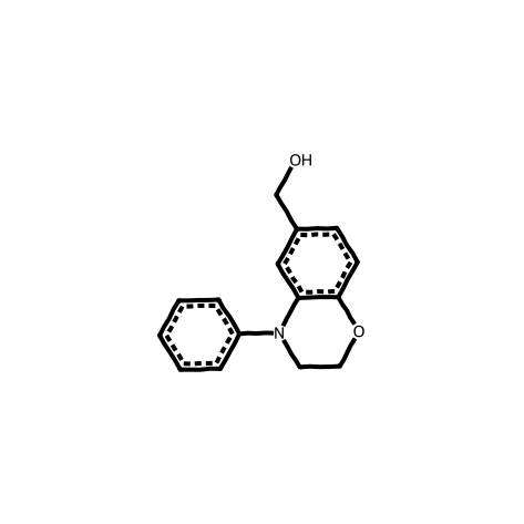 OCc1ccc2c(c1)N(c1ccccc1)CCO2